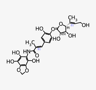 C/C(=C\c1ccc(O[C@@H]2O[C@H](/C(C)=C/CO)[C@@H](O)[C@@H]2O)c(O)c1)C(=O)Nc1c(O)c(O)c2c(c1O)OCO2